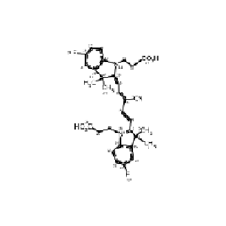 CC1(C)C(/C=C/C(C#N)=C/C=C2/N(CCC(=O)O)c3ccc(F)cc3C2(C)C)=[N+](CCC(=O)O)c2ccc(F)cc21